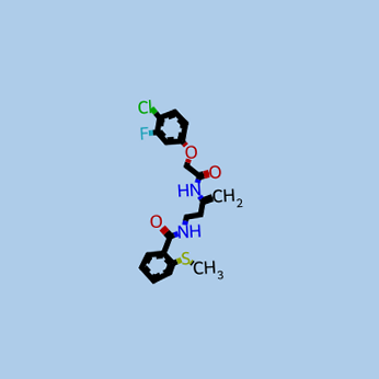 C=C(CCNC(=O)c1ccccc1SC)NC(=O)COc1ccc(Cl)c(F)c1